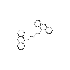 c1ccc2c(CCSCCc3c4ccccc4cc4ccccc34)c3ccccc3cc2c1